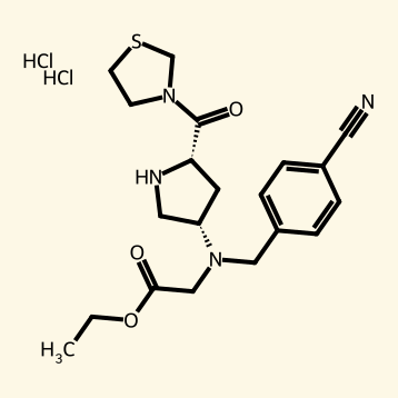 CCOC(=O)CN(Cc1ccc(C#N)cc1)[C@@H]1CN[C@H](C(=O)N2CCSC2)C1.Cl.Cl